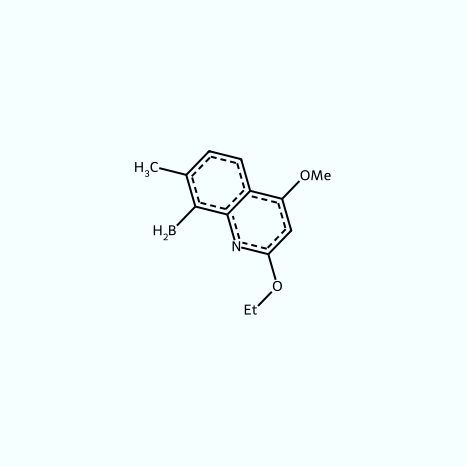 Bc1c(C)ccc2c(OC)cc(OCC)nc12